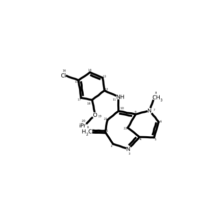 C=C1C/N=C2/C=CN(C)/C(=C(\NC3C=CC(Cl)=CC3OC(C)C)C1)C2